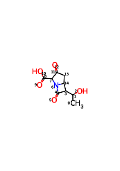 CC(O)C1C(=O)N2C(C(=O)O)C(=O)CC12